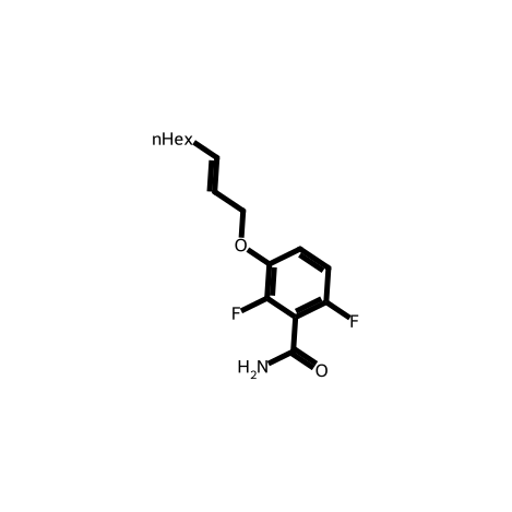 CCCCCC/C=C/COc1ccc(F)c(C(N)=O)c1F